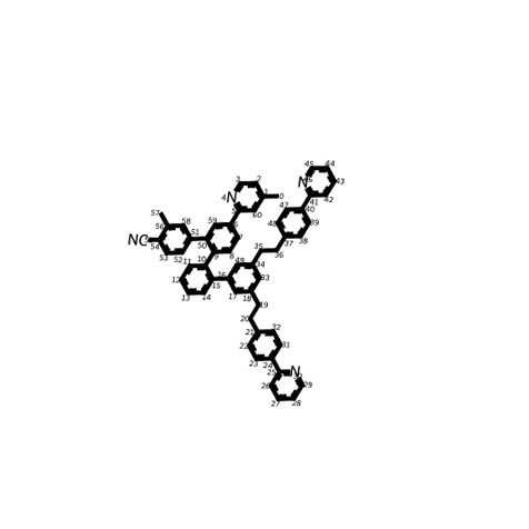 Cc1ccnc(-c2ccc(-c3ccccc3-c3cc(CCc4ccc(-c5ccccn5)cc4)cc(CCc4ccc(-c5ccccn5)cc4)c3)c(-c3ccc(C#N)c(C)c3)c2)c1